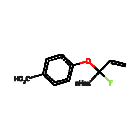 C=CC(F)(CCCCCC)Oc1ccc(C(=O)O)cc1